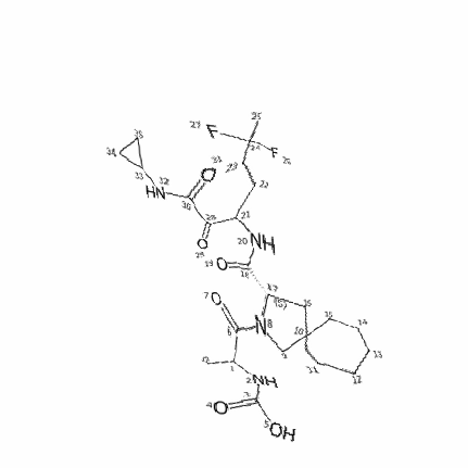 CC(NC(=O)O)C(=O)N1CC2(CCCCC2)C[C@H]1C(=O)NC(CCC(C)(F)F)C(=O)C(=O)NC1CC1